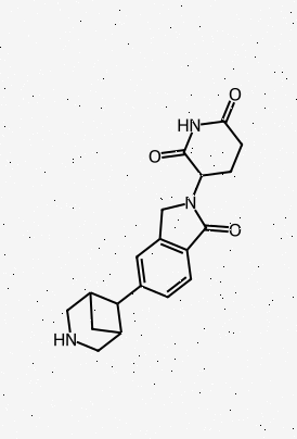 O=C1CCC(N2Cc3cc(C4C5CNCC4C5)ccc3C2=O)C(=O)N1